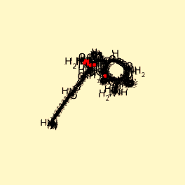 CCCC[C@H](NC(=O)[C@H](Cc1ccncc1)NC(=O)[C@H](Cc1c[nH]cn1)NC(=O)[C@H](CCC(N)=O)NC(=O)[C@H](CO)NC(=O)CNC(=O)COCCOCCNC(=O)CCCCCCCCCCCCCCCc1nnn[nH]1)C(=O)N[C@H]1CCC(=O)NCCCC[C@@H](C(N)=O)NC(=O)[C@H](Cc2c[nH]c3ccccc23)NC(=O)[C@H](CCCNC(=N)N)NC(=O)[C@@H](Cc2ccccc2)NC(=O)[C@@H]2C[C@@H](O)CN2C1=O